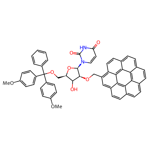 COc1ccc(C(OC[C@H]2O[C@@H](n3ccc(=O)[nH]c3=O)[C@@H](OCc3cc4ccc5ccc6ccc7ccc8ccc3c3c8c7c6c5c43)C2O)(c2ccccc2)c2ccc(OC)cc2)cc1